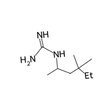 CCC(C)(C)CC(C)NC(=N)N